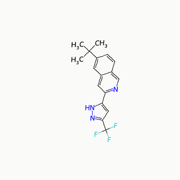 CC(C)(C)c1ccc2cnc(-c3cc(C(F)(F)F)n[nH]3)cc2c1